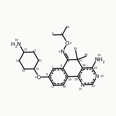 CC(C)O/N=C1/c2cc(OC3CCC(N)CC3)ccc2-c2ncnc(N)c2C1(C)C